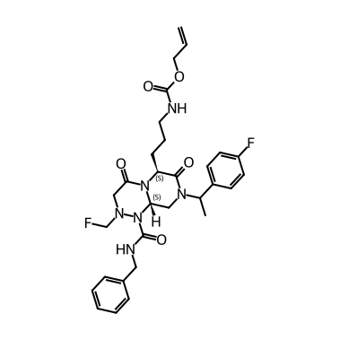 C=CCOC(=O)NCCC[C@H]1C(=O)N(C(C)c2ccc(F)cc2)C[C@H]2N1C(=O)CN(CF)N2C(=O)NCc1ccccc1